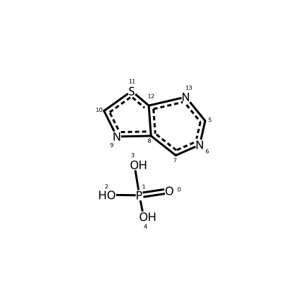 O=P(O)(O)O.c1ncc2ncsc2n1